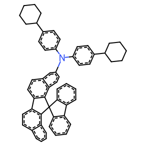 c1ccc2c(c1)-c1ccccc1C21c2c(ccc3ccccc23)-c2ccc3cc(N(c4ccc(C5CCCCC5)cc4)c4ccc(C5CCCCC5)cc4)ccc3c21